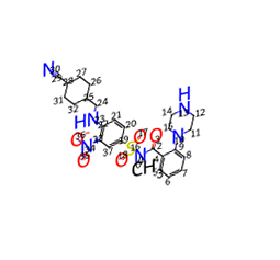 CN(C(=O)c1ccccc1N1CCNCC1)S(=O)(=O)c1ccc(NCC2CCC(C#N)CC2)c([N+](=O)[O-])c1